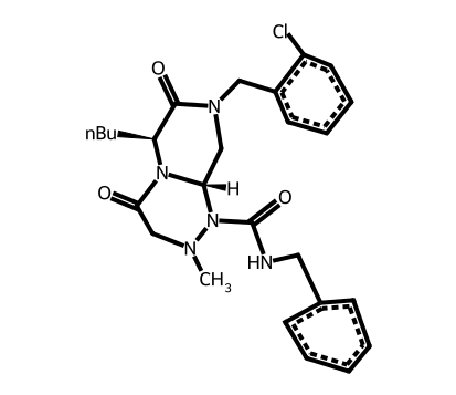 CCCC[C@H]1C(=O)N(Cc2ccccc2Cl)C[C@H]2N1C(=O)CN(C)N2C(=O)NCc1ccccc1